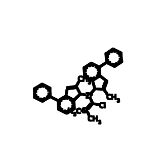 CC1=Cc2c(-c3ccccc3)cccc2[CH]1[Zr]([C](Cl)=[Si](C)C)[CH]1C(C)=Cc2c(-c3ccccc3)cccc21